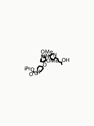 COc1nc(CCC(C)O)ccc1Nc1nccc(OC2CCN(OC(=O)OC(C)C)CC2)c1OC